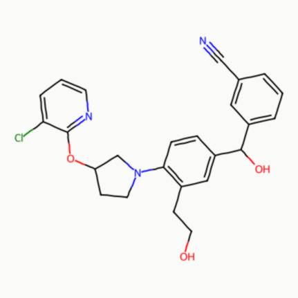 N#Cc1cccc(C(O)c2ccc(N3CCC(Oc4ncccc4Cl)C3)c(CCO)c2)c1